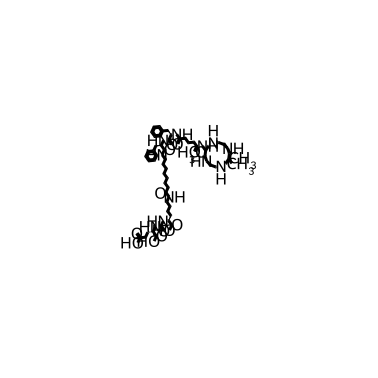 CC1(C)CNCCNCC(C)(NC(=O)CCCC(=O)N[C@H](Cc2ccccc2)C(=O)N[C@H](Cc2ccccc2)C(=O)NCCCCCCCC(=O)NCCCC[C@H](NC(=O)N[C@@H](CCC(=O)O)C(=O)O)C(=O)O)CNCCNC1